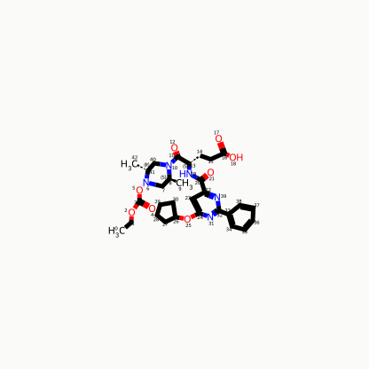 CCOC(=O)ON1C[C@H](C)N(C(=O)[C@H](CCC(=O)O)NC(=O)c2cc(OC3CCCC3)nc(-c3ccccc3)n2)C[C@H]1C